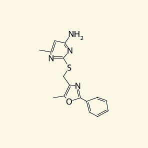 Cc1cc(N)nc(SCc2nc(-c3ccccc3)oc2C)n1